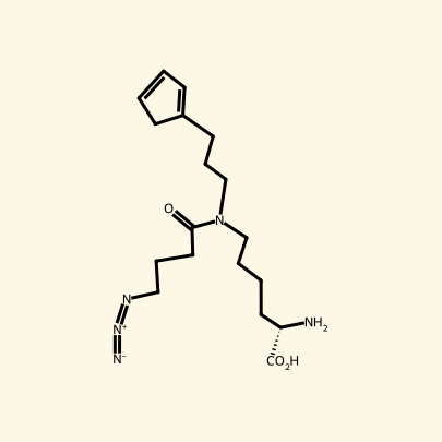 [N-]=[N+]=NCCCC(=O)N(CCCC[C@H](N)C(=O)O)CCCC1=CC=CC1